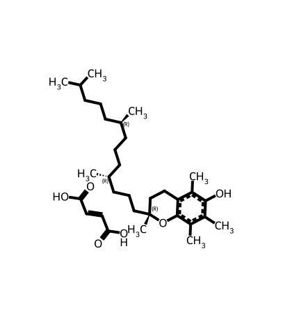 Cc1c(C)c2c(c(C)c1O)CC[C@@](C)(CCC[C@H](C)CCC[C@H](C)CCCC(C)C)O2.O=C(O)C=CC(=O)O